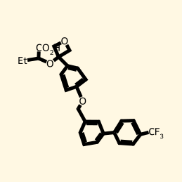 CCC(OC1(c2ccc(OCc3cccc(-c4ccc(C(F)(F)F)cc4)c3)cc2)COC1)C(=O)O